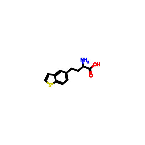 NC(CCc1ccc2sccc2c1)C(=O)O